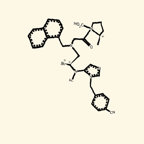 CC[C@H](C)[C@@H](CN(CC(=O)[N+]1(C(=O)O)CCC[C@H]1C)Cc1cccc2ccccc12)N(C(C)=O)c1cncn1Cc1ccc(C#N)cc1